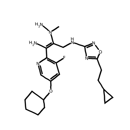 CN(N)/C(CNc1noc(CCC2CC2)n1)=C(\N)c1ncc(OC2CCCCC2)cc1F